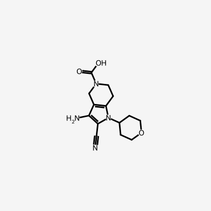 N#Cc1c(N)c2c(n1C1CCOCC1)CCN(C(=O)O)C2